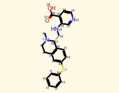 CN1CCc2cc(Sc3ccccc3)ccc2[C@H]1CNc1cnccc1C(=O)O